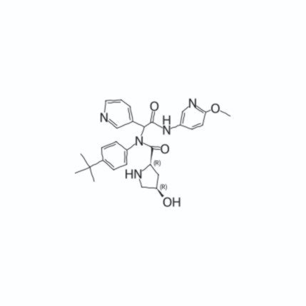 COc1ccc(NC(=O)C(c2cccnc2)N(C(=O)[C@H]2C[C@@H](O)CN2)c2ccc(C(C)(C)C)cc2)cn1